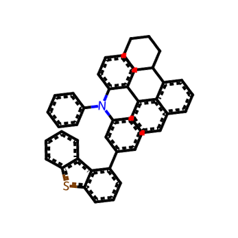 c1ccc(N(c2cccc(-c3cccc4sc5ccccc5c34)c2)c2ccccc2-c2cccc3cccc(C4CCCCC4)c23)cc1